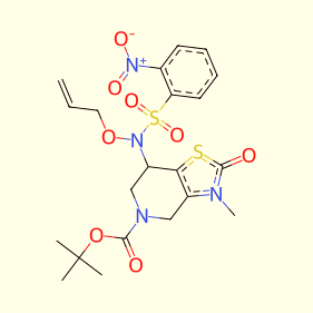 C=CCON(C1CN(C(=O)OC(C)(C)C)Cc2c1sc(=O)n2C)S(=O)(=O)c1ccccc1[N+](=O)[O-]